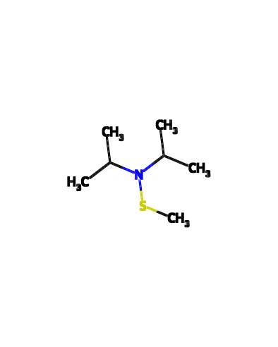 CSN(C(C)C)C(C)C